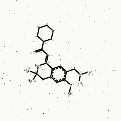 COc1cc2c(cc1CN(C)C)/C(=C/C(=O)C1CCCCC1)NC(C)(C)C2